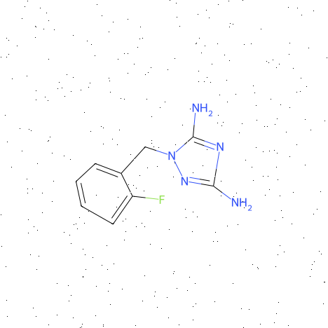 Nc1nc(N)n(Cc2ccccc2F)n1